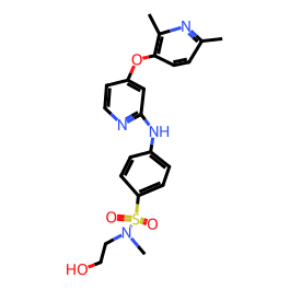 Cc1ccc(Oc2ccnc(Nc3ccc(S(=O)(=O)N(C)CCO)cc3)c2)c(C)n1